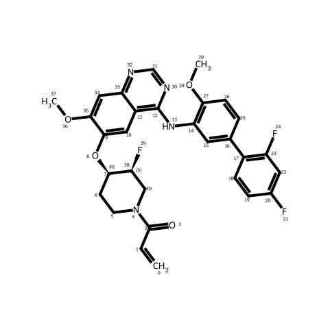 C=CC(=O)N1CC[C@@H](Oc2cc3c(Nc4cc(-c5ccc(F)cc5F)ccc4OC)ncnc3cc2OC)[C@@H](F)C1